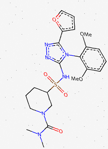 COc1cccc(OC)c1-n1c(NS(=O)(=O)C2CCCN(C(=O)N(C)C)C2)nnc1-c1ccco1